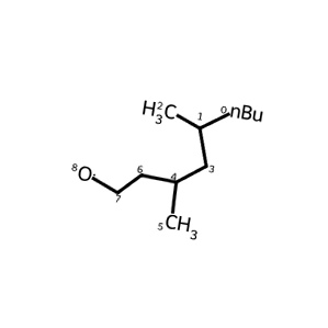 CCCCC(C)CC(C)CC[O]